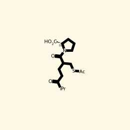 CC(=O)SCC(CCC(=O)C(C)C)C(=O)N1CCC[C@H]1C(=O)O